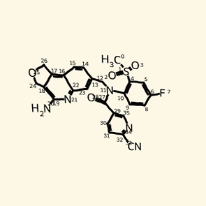 CS(=O)(=O)c1cc(F)ccc1N(Cc1ccc2c3c(c(N)nc2c1)COC3)C(=O)c1ccc(C#N)nc1